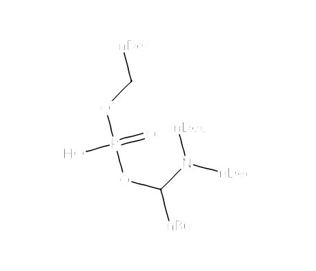 CCCCCCCCCCCOP(=O)(O)OC(CCCC)N(CCCCCCCCCC)CCCCCCCCCC